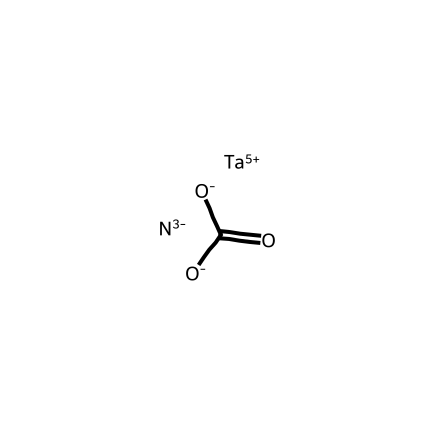 O=C([O-])[O-].[N-3].[Ta+5]